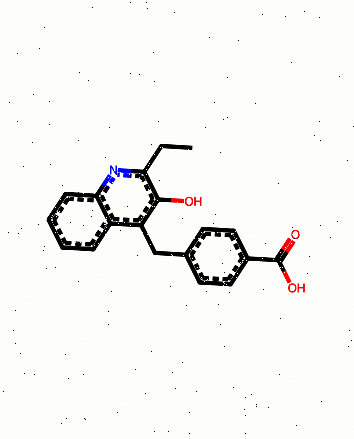 CCc1nc2ccccc2c(Cc2ccc(C(=O)O)cc2)c1O